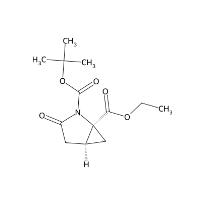 CCOC(=O)[C@]12C[C@H]1CC(=O)N2C(=O)OC(C)(C)C